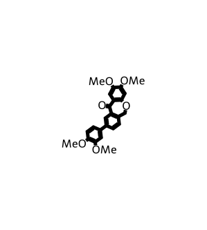 COc1ccc(-c2ccc3c(c2)C(=O)c2cc(OC)c(OC)cc2OC3)cc1OC